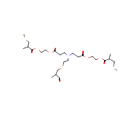 CSCC(C)C(=O)OCCOC(=O)CCN(CCSCC(C)C=O)CCC(=O)OCCOC(=O)C(C)CSC